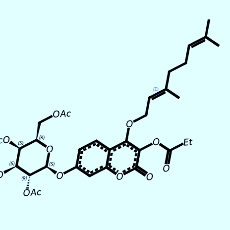 CCC(=O)Oc1c(OC/C=C(\C)CCC=C(C)C)c2ccc(O[C@@H]3O[C@H](COC(C)=O)[C@H](OC(C)=O)[C@H](OC(C)=O)[C@H]3OC(C)=O)cc2oc1=O